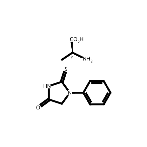 C[C@H](N)C(=O)O.O=C1CN(c2ccccc2)C(=S)N1